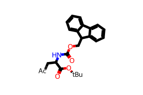 CC(=O)CC(NC(=O)OCC1c2ccccc2-c2ccccc21)C(=O)OC(C)(C)C